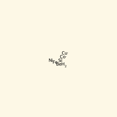 [BeH2].[Co].[Cu].[Fe].[Ni].[Si]